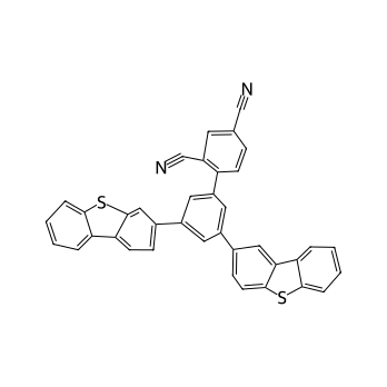 N#Cc1ccc(-c2cc(-c3ccc4c(c3)sc3ccccc34)cc(-c3ccc4sc5ccccc5c4c3)c2)c(C#N)c1